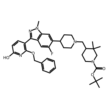 Cn1nc(-c2ccc(O)nc2OCc2ccccc2)c2cc(F)c(C3CCN(CC4CCN(C(=O)OC(C)(C)C)CC4(C)C)CC3)cc21